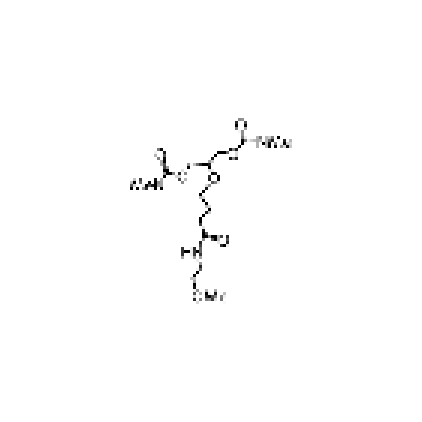 CNC(=O)OCC(COC(=O)NC)OCCCC(=O)NCCOC